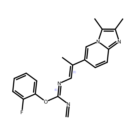 C=N/C(=N\C=C(/C)c1ccc2nc(C)c(C)n2c1)Oc1ccccc1F